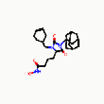 O=C(CCCC1C(=O)N(C23CC4CC(CC(C4)C2)C3)C(=O)N1CC1CC=CCC1)NO